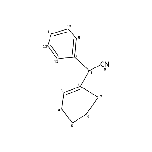 N#CC(C1=CCCCC1)c1ccccc1